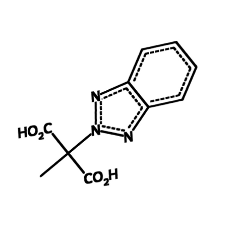 CC(C(=O)O)(C(=O)O)n1nc2ccccc2n1